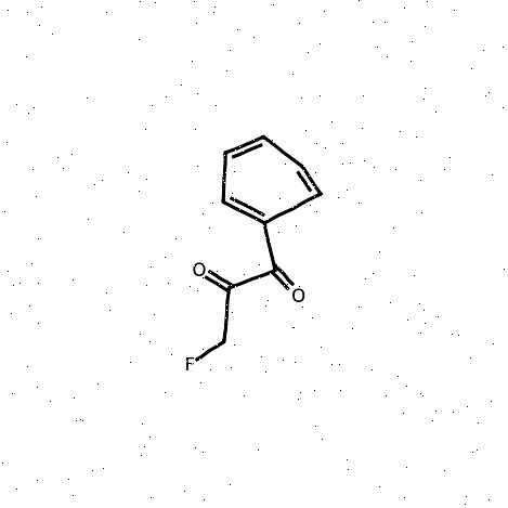 O=C(CF)C(=O)c1ccccc1